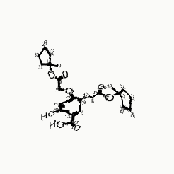 CC1(OC(=O)COc2cc(O)c(C(=O)O)cc2OCC(=O)OC2(C)CCCC2)CCCC1